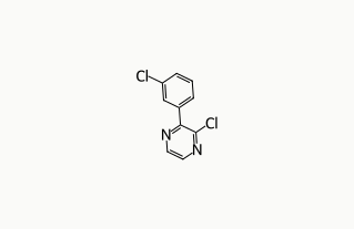 Clc1cccc(-c2nccnc2Cl)c1